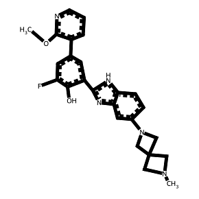 COc1ncccc1-c1cc(F)c(O)c(-c2nc3cc(N4CC5(CN(C)C5)C4)ccc3[nH]2)c1